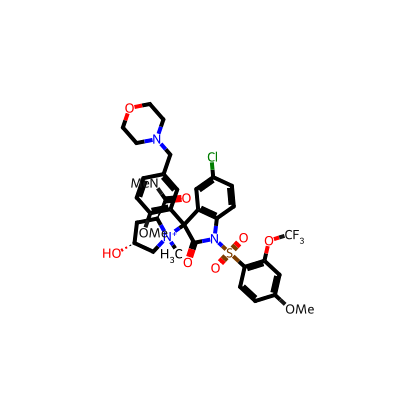 CNC(=O)[C@@H]1C[C@@H](O)C[N+]1(C)C1(c2cc(CN3CCOCC3)ccc2OC)C(=O)N(S(=O)(=O)c2ccc(OC)cc2OC(F)(F)F)c2ccc(Cl)cc21